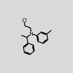 Cc1cccc(N(CCCl)C(C)c2ccccc2)c1